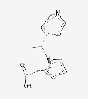 CC(c1ccncc1)n1cccc1C(=O)O